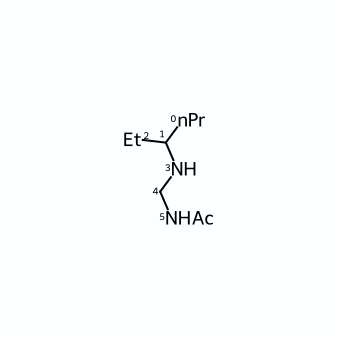 CCCC(CC)NCNC(C)=O